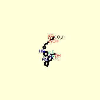 C[C@@H]1Cc2c([nH]c3ccccc23)[C@@H](c2c(F)cc(NC3CC(CCCOC(=O)[C@H](O)[C@@H](O)C(=O)O)C3)cc2F)N1CC(F)(F)CO